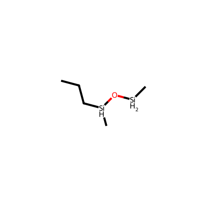 CCC[SiH](C)O[SiH2]C